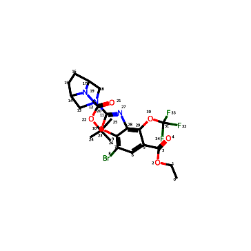 CCOC(=O)c1cc(Br)c2oc(N3CC4CCC(C3)N4C(=O)OC(C)(C)C)nc2c1OC(F)(F)F